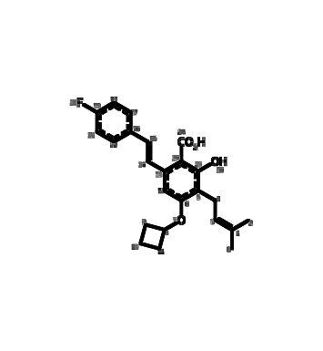 CC(C)=CCc1c(OC2CCC2)cc(C=Cc2ccc(F)cc2)c(C(=O)O)c1O